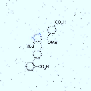 CCCCc1ncnc(C(OC)c2ccc(C(=O)O)cc2)c1Cc1ccc(-c2ccccc2C(=O)O)cc1